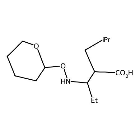 CCC(NOC1CCCCO1)C(CC(C)C)C(=O)O